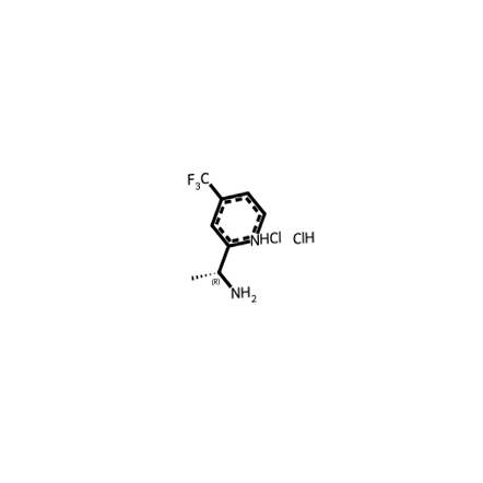 C[C@@H](N)c1cc(C(F)(F)F)ccn1.Cl.Cl